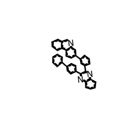 c1ccc(-c2ccc(-c3nc4ccccc4nc3-c3cccc(-c4ccc5c(c4)ncc4ccccc45)c3)cc2)cc1